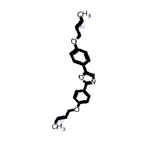 C/C=C/COc1ccc(-c2cnc(-c3ccc(OC/C=C/C)cc3)o2)cc1